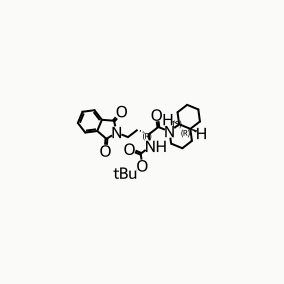 CC(C)(C)OC(=O)N[C@H](CCN1C(=O)c2ccccc2C1=O)C(=O)N1CCC[C@H]2CCCC[C@@H]21